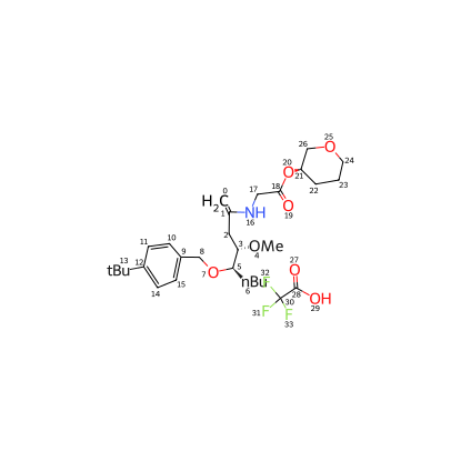 C=C(C[C@H](OC)[C@@H](CCCC)OCc1ccc(C(C)(C)C)cc1)NCC(=O)O[C@@H]1CCCOC1.O=C(O)C(F)(F)F